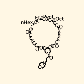 CCCCCCCCC1CCCC(CC)(CCCCC)CCC(CCCCCC)COC(=O)CCCCCC(=O)OCC2(CCN(C(=O)CCN3CCOCC3)CC2)COC(=O)CCCCCC(=O)OC1